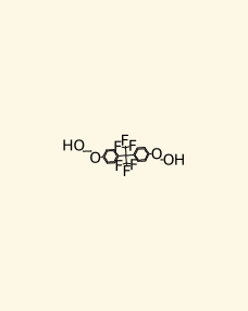 OCCOc1ccc(C(c2ccc(OCO)cc2)(C(F)(F)F)C(F)(F)F)cc1